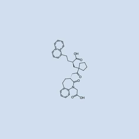 O=C(O)CN1C(=O)[C@@H](CC(=O)C2(C[C@@H](CCc3cccc4ccccc34)C(=O)O)CCCC2)CCc2ccccc21